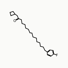 O=C(CCCCCCCCCCCCCCc1ccc(F)cc1)CC1CCC1